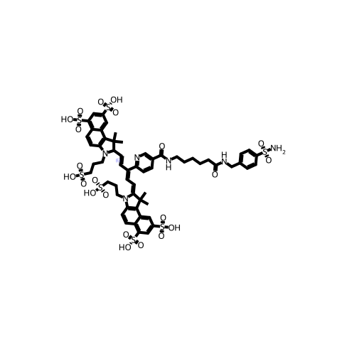 CC1(C)C(=CC=C(/C=C/C2N(CCCS(=O)(=O)O)c3ccc4c(S(=O)(=O)O)cc(S(=O)(=O)O)cc4c3C2(C)C)c2ccc(C(=O)NCCCCCC(=O)NCc3ccc(S(N)(=O)=O)cc3)cn2)N(CCCS(=O)(=O)O)c2ccc3c(S(=O)(=O)O)cc(S(=O)(=O)O)cc3c21